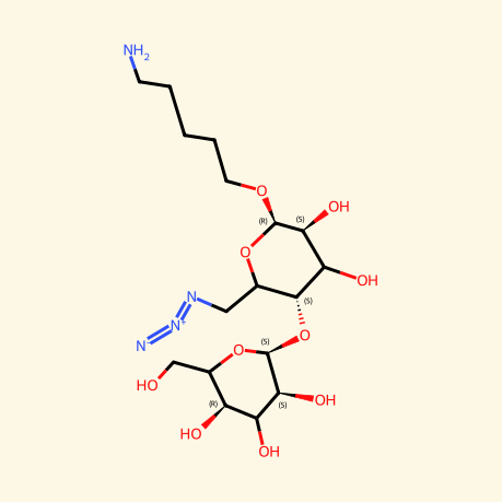 [N-]=[N+]=NCC1O[C@@H](OCCCCCN)[C@@H](O)C(O)[C@@H]1O[C@@H]1OC(CO)[C@H](O)C(O)[C@@H]1O